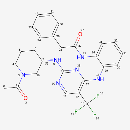 CC(=O)N1CCC[C@H](Nc2ncc(C(F)(F)F)c(Nc3ccccc3NC(=O)Cc3ccccc3)n2)C1